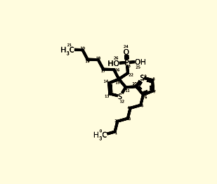 CCCCCCc1ccsc1C1SC=CC1(CCCCCC)CP(=O)(O)O